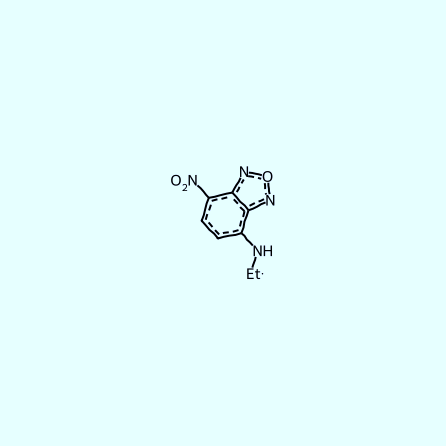 C[CH]Nc1ccc([N+](=O)[O-])c2nonc12